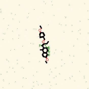 CCOc1ccc(CO/C(CC)=C(\F)C2=C(C)c3ccc(OCC)c(F)c3C(F)(F)C2(F)F)cc1